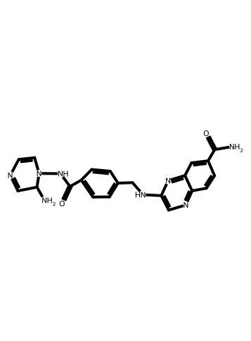 NC(=O)c1ccc2ncc(NCc3ccc(C(=O)NN4C=CN=CC4N)cc3)nc2c1